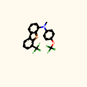 CN(c1ccc(OC(F)(F)F)cc1)c1cccc2c1sc1c(C(F)(F)F)cccc12